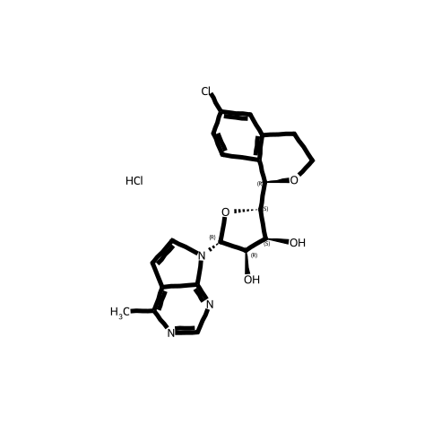 Cc1ncnc2c1ccn2[C@@H]1O[C@H]([C@@H]2OCCc3cc(Cl)ccc32)[C@@H](O)[C@H]1O.Cl